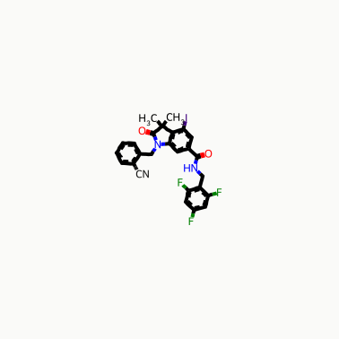 CC1(C)C(=O)N(Cc2ccccc2C#N)c2cc(C(=O)NCc3c(F)cc(F)cc3F)cc(I)c21